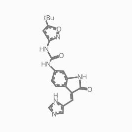 CC(C)(C)c1cc(NC(=O)Nc2ccc3c(c2)NC(=O)C3=Cc2cnc[nH]2)no1